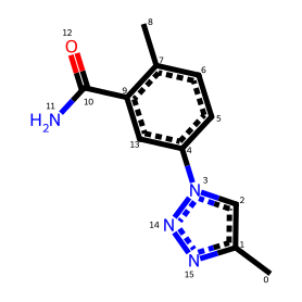 Cc1cn(-c2ccc(C)c(C(N)=O)c2)nn1